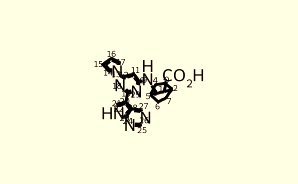 O=C(O)C1C2CCC(CC2)C1Nc1cc(-n2cccc2)nc(-c2c[nH]c3ncncc23)n1